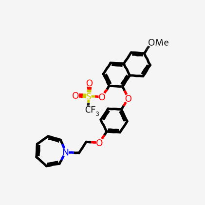 COc1ccc2c(Oc3ccc(OCCN4C=CC=CC=C4)cc3)c(OS(=O)(=O)C(F)(F)F)ccc2c1